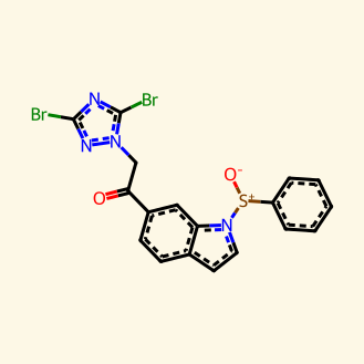 O=C(Cn1nc(Br)nc1Br)c1ccc2ccn([S+]([O-])c3ccccc3)c2c1